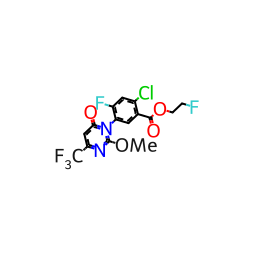 COc1nc(C(F)(F)F)cc(=O)n1-c1cc(C(=O)OCCF)c(Cl)cc1F